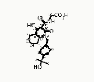 CC(C)(O)c1ccc(Cn2c3c(c(O)c(C(=O)NCC(=O)O)c2=O)COCC3)cc1